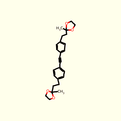 CC1(CCc2ccc(C#Cc3ccc(CCC4(C)OCCO4)cc3)cc2)OCCO1